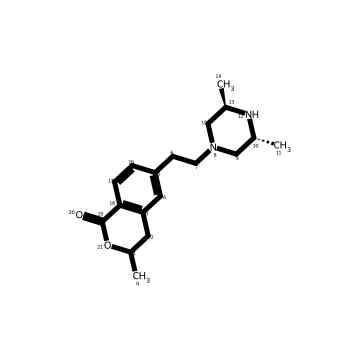 CC1Cc2cc(CCN3C[C@@H](C)N[C@H](C)C3)ccc2C(=O)O1